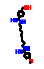 COc1ccc(C(=N)NCCCCCCCCCNC(=N)c2ccc(CO)cc2)cc1